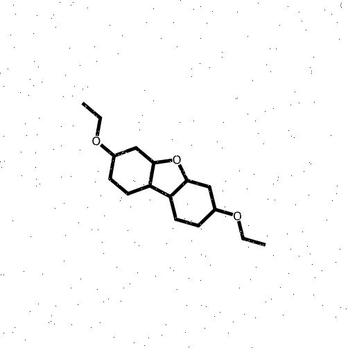 CCOC1CCC2C(C1)OC1CC(OCC)CCC12